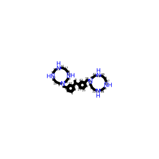 CC(c1cccc(CN2CCCNCCNCCCNCC2)c1)c1cccc(CN2CCCNCCNCCCNCC2)c1